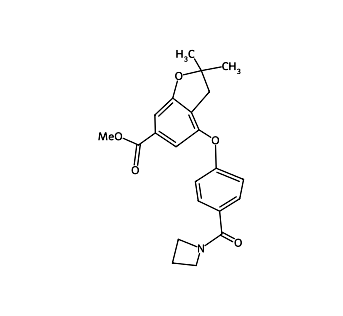 COC(=O)c1cc(Oc2ccc(C(=O)N3CCC3)cc2)c2c(c1)OC(C)(C)C2